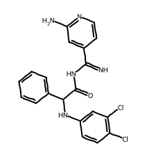 N=C(NC(=O)C(Nc1ccc(Cl)c(Cl)c1)c1ccccc1)c1ccnc(N)c1